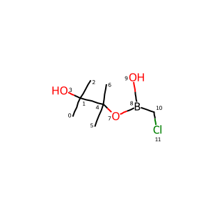 CC(C)(O)C(C)(C)OB(O)CCl